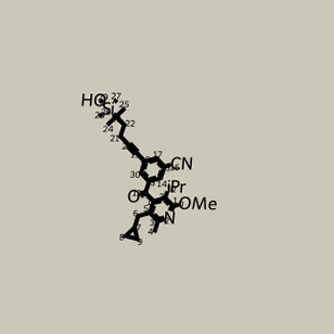 COc1nc(C)c(CC2CC2)c(C(=O)c2cc(C#N)cc(C#CCCC(C)(C)[Si](C)(C)O)c2)c1C(C)C